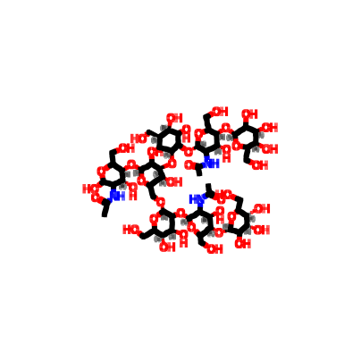 CC(=O)NC1C(O)OC(CO)[C@@H](O[C@@H]2OC(CO[C@H]3OC(CO)[C@@H](O)[C@H](O)C3O[C@@H]3OC(CO)[C@@H](O[C@@H]4OC(CO)[C@H](O)[C@H](O)C4O)[C@H](O)C3NC(C)=O)[C@@H](O)[C@H](O[C@H]3C[C@@H](CO)[C@@H](O)C(O)C3O[C@@H]3OC(CO)[C@@H](O[C@@H]4OC(CO)[C@H](O)[C@H](O)C4O)[C@H](O)C3NC(C)=O)C2O)[C@@H]1O